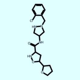 O=C(NC1CNN(Cc2ccccc2Cl)C1)C1CC(C2CCCO2)ON1